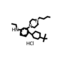 CCCCN1CCN(c2cc(NCC)ccc2C2CCC(C(C)(C)C)CC2)CC1.Cl